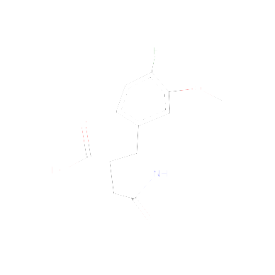 COc1cc(C2NC(=O)C[C@@H]2C(=O)O)ccc1F